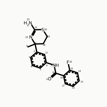 CC1(c2cccc(NC(=O)c3ccccc3F)c2)CCSC(N)=N1